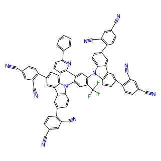 N#Cc1ccc(-c2ccc3c(c2)c2cc(-c4ccc(C#N)cc4C#N)ccc2n3-c2cc(C(F)(F)F)c(-n3c4ccc(-c5ccc(C#N)cc5C#N)cc4c4cc(-c5ccc(C#N)cc5C#N)ccc43)cc2-c2cccc(-c3ccccc3)n2)c(C#N)c1